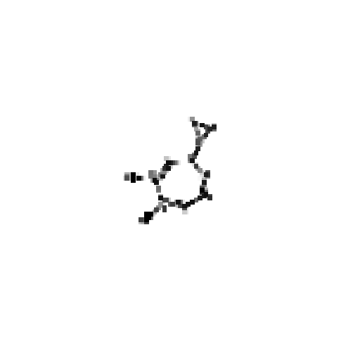 FC1=CC=CC(C2CC2)C=C1F